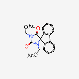 CC(=O)OCN1C(=O)N(COC(C)=O)C2(C1=O)c1ccccc1-c1ccccc12